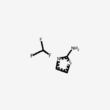 FC(F)F.Nc1nccs1